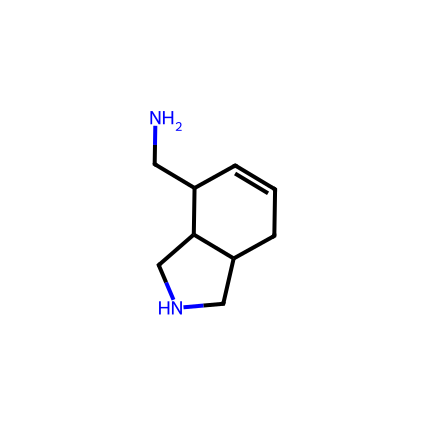 NCC1C=CCC2CNCC12